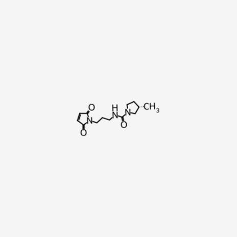 C[C@H]1CCN(C(=O)NCCCN2C(=O)C=CC2=O)C1